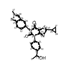 CC(O)c1ccc(-n2c(=O)n(-c3ccc4nn(C)cc4c3)c(=O)c3sc(C4CC4)nc32)cc1